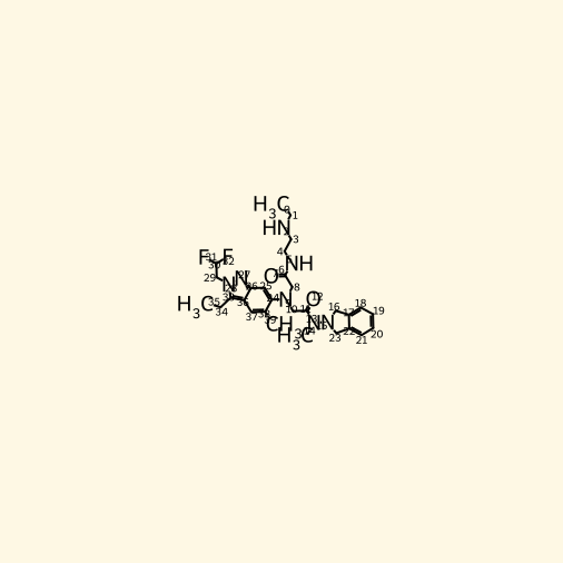 CCNCCNC(=O)CN(CC(=O)N(C)N1Cc2ccccc2C1)c1cc2nn(CC(F)F)c(CC)c2cc1C